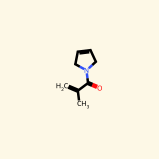 C=C(C)C(=O)N1CC=CC1